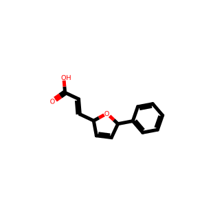 O=C(O)C=CC1C=CC(c2ccccc2)O1